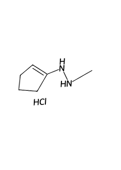 CNNC1=CCCC1.Cl